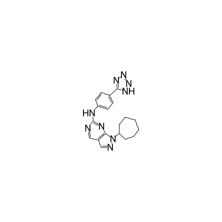 c1cc(-c2nnn[nH]2)ccc1Nc1ncc2cnn(C3CCCCCC3)c2n1